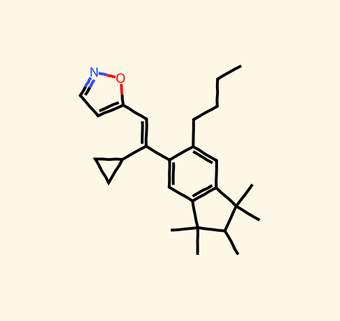 CCCCc1cc2c(cc1C(=Cc1ccno1)C1CC1)C(C)(C)C(C)C2(C)C